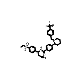 CCS(=O)(=O)c1ccc([C@H](CC#N)NC(=O)c2ccc(C3CCCCN3Cc3ccc(C(F)(F)F)cc3)cc2)cc1